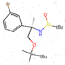 CC(C)(C)[S+]([O-])N[C@@](C)(CO[Si](C)(C)C(C)(C)C)c1cccc(Br)c1